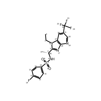 CCn1c([C@@H](C)NS(=O)(=O)c2ccc(F)cc2)nc2ncc(C(F)(F)F)cc21